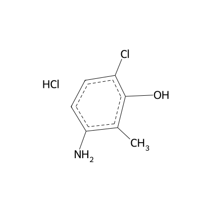 Cc1c(N)ccc(Cl)c1O.Cl